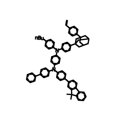 C=Cc1ccc(C23CC4CC(C2)CC(c2ccc(N(c5ccc(CCCC)cc5)c5ccc(N(c6ccc(-c7ccccc7)cc6)c6ccc(-c7ccc8c(c7)C(C)(C)c7ccccc7-8)cc6)cc5)cc2)(C4)C3)cc1